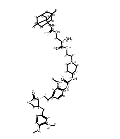 COc1ccc(C[C@H]2COC(=O)[C@@H]2CCc2ccc(OC(=O)NC3CCN(CCOC(=O)[C@@H](N)COC(=O)NC45CC6CC(C)(CC(C)(C6)C4)C5)CC3)c(OC)c2)cc1OC